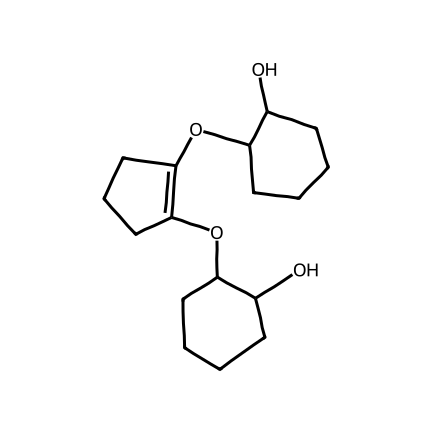 OC1CCCCC1OC1=C(OC2CCCCC2O)CCC1